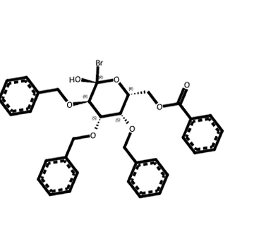 O=C(OC[C@H]1O[C@@](O)(Br)[C@H](OCc2ccccc2)[C@@H](OCc2ccccc2)[C@H]1OCc1ccccc1)c1ccccc1